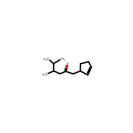 CC(C)C(C)CC(=O)CC1C=CCC1